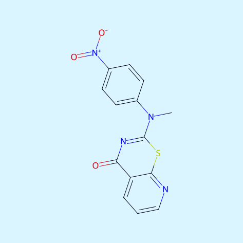 CN(c1ccc([N+](=O)[O-])cc1)c1nc(=O)c2cccnc2s1